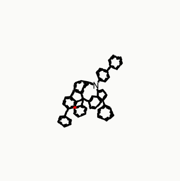 C1=CC2=CC3(C1)C(c1ccccc1)=CC=C3N(c1ccc(-c3ccccc3)cc1)c1ccc3c(c1)C2(c1ccccc1)c1cc(-c2ccccc2)ccc1-3